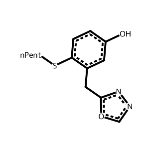 CCCCCSc1ccc(O)cc1Cc1nnco1